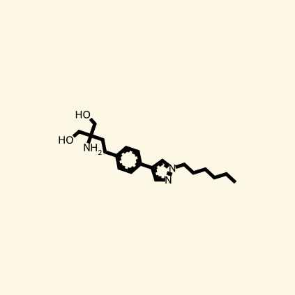 CCCCCCn1cc(-c2ccc(CCC(N)(CO)CO)cc2)cn1